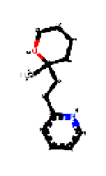 [SiH3]C1(CCc2ccccn2)CCCCO1